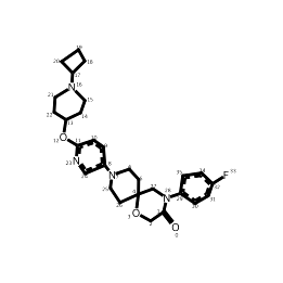 O=C1COC2(CCN(c3ccc(OC4CCN(C5CCC5)CC4)nc3)CC2)CN1c1ccc(F)cc1